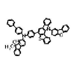 CC1(C)c2ccccc2-c2ccc(N(c3ccc(-c4ccccc4)cc3)c3ccc(-c4cc5c6ccccc6n(-c6ccc7oc8ccccc8c7c6)c5c5c4sc4ccccc45)cc3)cc21